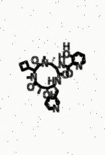 C[C@@H]1[C@H](NC(=O)c2ncccc2O)C(=O)N[C@@H](Cc2cccnc2)[C@@H](O)[C@@H](C)C(=O)N(C)C(C2CCC2)C(=O)N1C